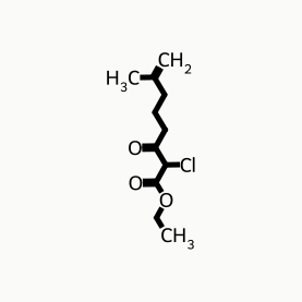 C=C(C)CCCC(=O)C(Cl)C(=O)OCC